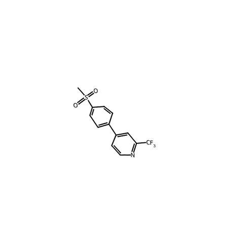 CS(=O)(=O)c1ccc(-c2ccnc(C(F)(F)F)c2)cc1